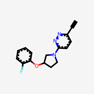 C#Cc1ccc(N2CCC(Oc3ccccc3F)C2)nn1